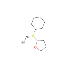 CCC=S(C1CCCCC1)C1CCCO1